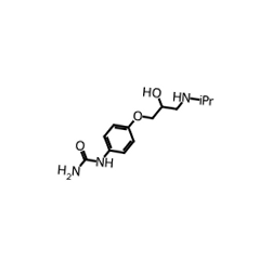 CC(C)NCC(O)COc1ccc(NC(N)=O)cc1